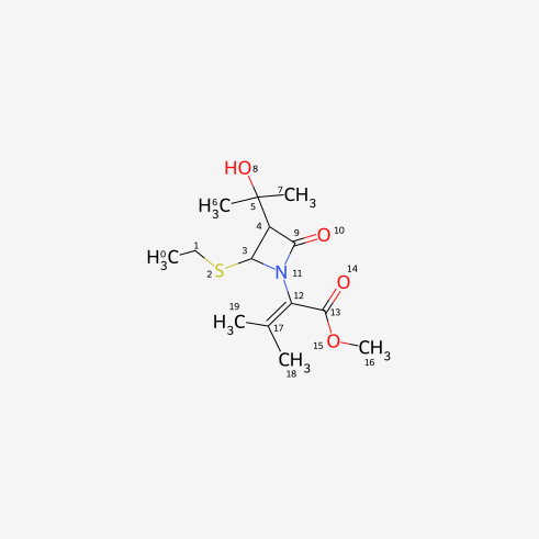 CCSC1C(C(C)(C)O)C(=O)N1C(C(=O)OC)=C(C)C